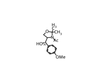 COc1ccc([C@@H](O)C2COC(C)(C)N2C(C)=O)cc1